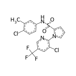 Cc1cc(NS(=O)(=O)c2cccn2-c2ncc(C(F)(F)F)cc2Cl)ccc1Cl